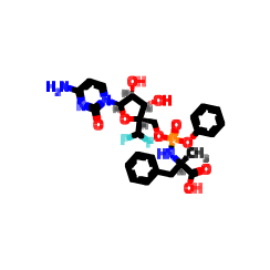 C[C@@](Cc1ccccc1)(NP(=O)(OC[C@@]1(C(F)F)O[C@@H](n2ccc(N)nc2=O)[C@H](O)[C@@H]1O)Oc1ccccc1)C(=O)O